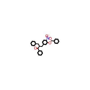 O=C(c1ccccc1)C(Cc1ccccc1)Cc1ccc([N+](=O)[O-])c(OCc2ccccc2)c1